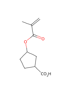 C=C(C)C(=O)OC1CCC(C(=O)O)C1